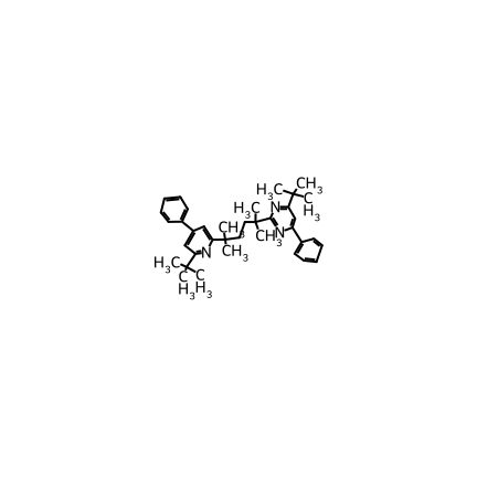 CC(C)(C)c1cc(-c2ccccc2)cc(C(C)(C)CCC(C)(C)c2nc(-c3ccccc3)cc(C(C)(C)C)n2)n1